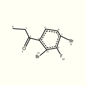 CCC(=O)c1ccc(Br)c(F)c1Br